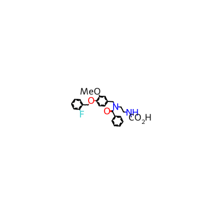 COc1cc(CN(CCNC(=O)O)C(=O)c2ccccc2)ccc1OCc1ccccc1F